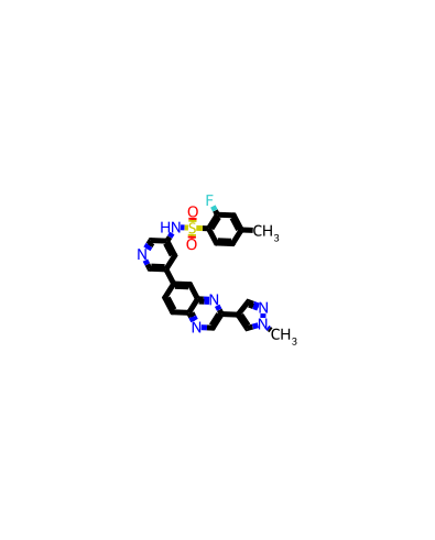 Cc1ccc(S(=O)(=O)Nc2cncc(-c3ccc4ncc(-c5cnn(C)c5)nc4c3)c2)c(F)c1